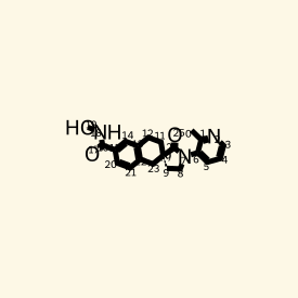 Cc1ncccc1N1CC[C@]2(CCc3cc(C(=O)NO)ccc3C2)C1=O